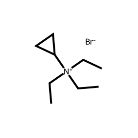 CC[N+](CC)(CC)C1CC1.[Br-]